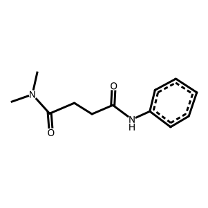 CN(C)C(=O)CCC(=O)Nc1ccccc1